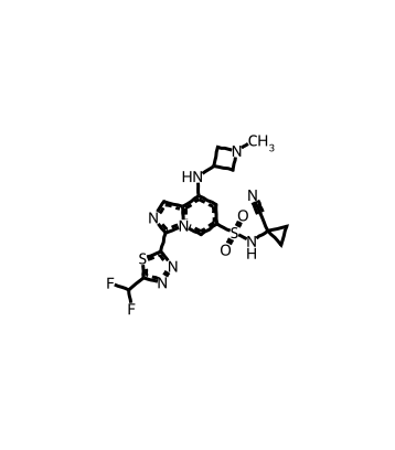 CN1CC(Nc2cc(S(=O)(=O)NC3(C#N)CC3)cn3c(-c4nnc(C(F)F)s4)ncc23)C1